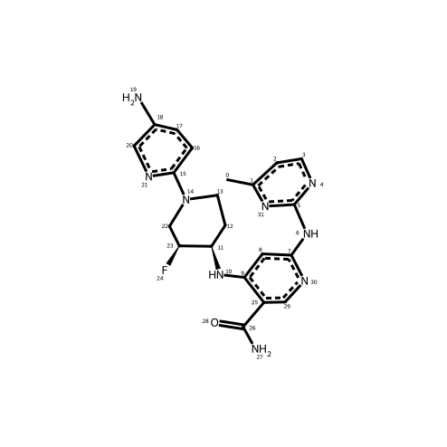 Cc1ccnc(Nc2cc(N[C@@H]3CCN(c4ccc(N)cn4)C[C@@H]3F)c(C(N)=O)cn2)n1